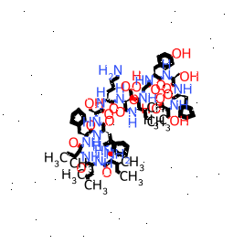 CC[C@H](C)[C@H](N)C(=O)N[C@@H](CC(C)C)C(=O)N[C@H](C(=O)N[C@@H](Cc1ccccc1)C(=O)N[C@@H](Cc1c[nH]c2ccccc12)C(=O)N[C@@H](CO)C(=O)N[C@@H](CCCCN)C(=O)N[C@@H](CC(=O)O)C(=O)N[C@H](C(=O)NCC(=O)N[C@@H](Cc1ccc(O)cc1)C(=O)N[C@@H](CO)C(=O)N[C@@H](Cc1ccccc1)C(=O)N[C@H](C(=O)O)[C@@H](C)O)[C@@H](C)CC)[C@@H](C)CC